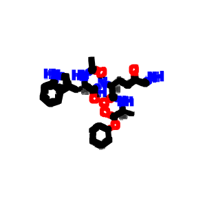 CC(=O)N[C@@H](Cc1c[nH]c2ccccc12)C(=O)N[C@@H](CCC(=O)C=N)C(=O)N[C@@H](C)C(=O)OC1CCCCC1